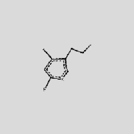 CCCc1cnc(F)cc1C